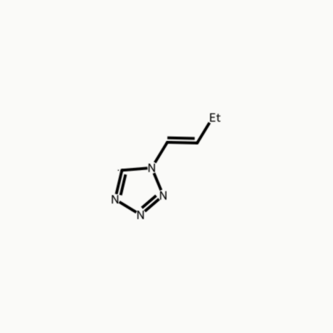 CC/C=C/n1[c]nnn1